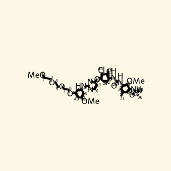 COCCOCCOCCOc1cc(Nc2nccc(Oc3ccc(NC(=O)Nc4cc(C)cc(NS(C)(=O)=O)c4OC)c(Cl)c3Cl)n2)cc(OC)c1